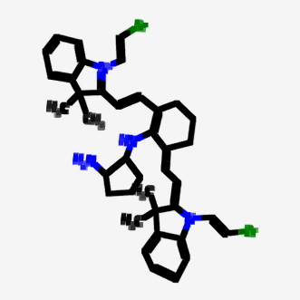 CC1(C)C(/C=C/C2=C(NC3CCCC3N)C(=C/C=C3/N(/C=C/Br)c4ccccc4C3(C)C)/CCC2)=[N+](/C=C/Br)c2ccccc21